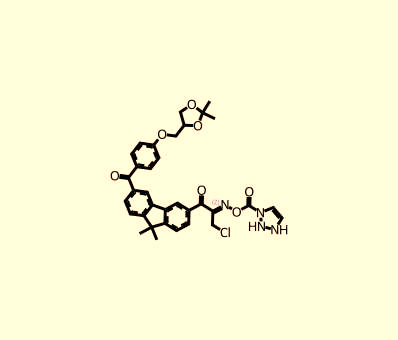 CC1(C)OCC(COc2ccc(C(=O)c3ccc4c(c3)-c3cc(C(=O)/C(CCl)=N/OC(=O)N5C=CNN5)ccc3C4(C)C)cc2)O1